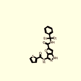 CCC(CC)(NC(=O)c1cc2[nH]nc(NC(=O)c3cccs3)c2o1)c1ccccc1